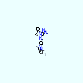 Cc1cc(C(F)(F)F)nn1-c1ccc(CN(C)c2cc3c(ncn3C)c(-c3ccccc3C3CC3)n2)cc1